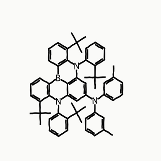 Cc1cccc(N(c2cccc(C)c2)c2cc3c4c(c2)N(c2ccccc2C(C)(C)C)c2c(cccc2C(C)(C)C)B4c2cccc(C(C)(C)C)c2N3c2ccccc2C(C)(C)C)c1